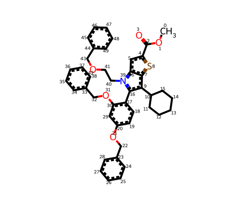 COC(=O)c1cc2c(s1)c(C1CCCCC1)c(-c1ccc(OCc3ccccc3)cc1OCc1ccccc1)n2CCOCc1ccccc1